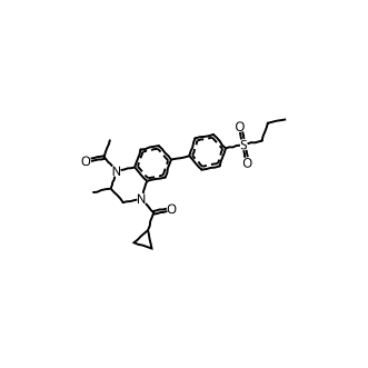 CCCS(=O)(=O)c1ccc(-c2ccc3c(c2)N(C(=O)C2CC2)CC(C)N3C(C)=O)cc1